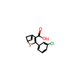 O=C(O)C1=C(c2cccc(Cl)c2)SC2C=C1C2